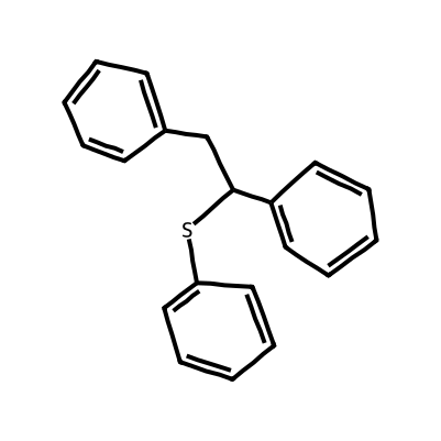 c1ccc(CC(Sc2ccccc2)c2ccccc2)cc1